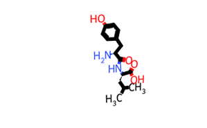 CC(C)C[C@H](NC(=O)[C@H](N)Cc1ccc(O)cc1)C(=O)O